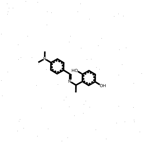 CC(N=Cc1ccc(N(C)C)cc1)c1cc(O)ccc1O